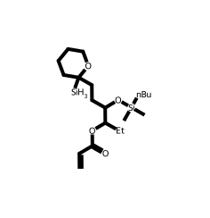 C=CC(=O)OC(CC)C(CCC1([SiH3])CCCCO1)O[Si](C)(C)CCCC